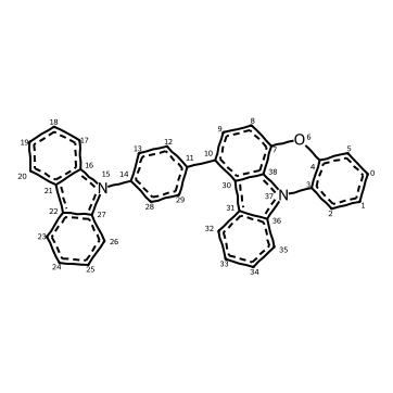 c1ccc2c(c1)Oc1ccc(-c3ccc(-n4c5ccccc5c5ccccc54)cc3)c3c4ccccc4n-2c13